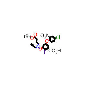 C#CCN(CCCC(=O)OC(C)(C)C)Oc1cc(Oc2ccc(Cl)cc2[N+](=O)[O-])cc(C(=O)O)c1I